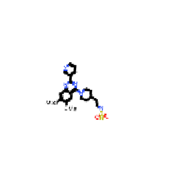 COc1cc2nc(-c3cccnc3)nc(N3CCC(CCN[SH](=O)=O)CC3)c2cc1OC